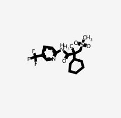 CC(CS(C)(=O)=O)(C(=O)Nc1ccc(C(F)(F)F)cn1)C1CCCCC1